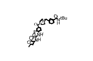 Cc1cc(NC(=O)Nc2ccc(C(=O)N3CCN(Cc4cccc(C(=O)NC(C)(C)C)c4)CC3)cc2F)c(C(F)(F)F)o1